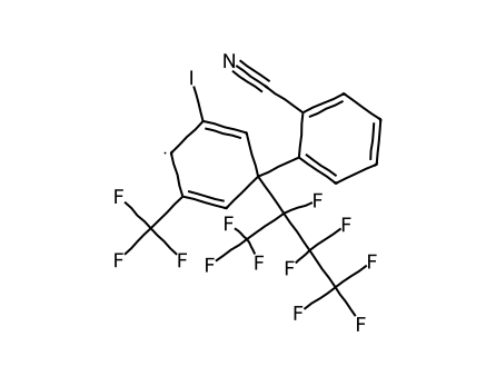 N#Cc1ccccc1C1(C(F)(C(F)(F)F)C(F)(F)C(F)(F)F)C=C(I)[CH]C(C(F)(F)F)=C1